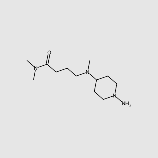 CN(C)C(=O)CCCN(C)C1CCN(N)CC1